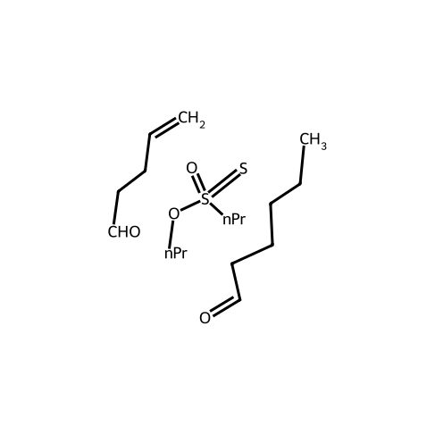 C=CCCC=O.CCCCCC=O.CCCOS(=O)(=S)CCC